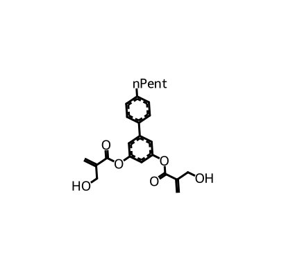 C=C(CO)C(=O)Oc1cc(OC(=O)C(=C)CO)cc(-c2ccc(CCCCC)cc2)c1